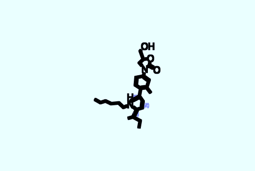 C\C=C(/C=C\C(NCCCCCC)=C(\C)CC)c1ccc(N2CC(CO)OC2=O)cc1C